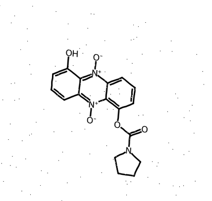 O=C(Oc1cccc2c1[n+]([O-])c1cccc(O)c1[n+]2[O-])N1CCCC1